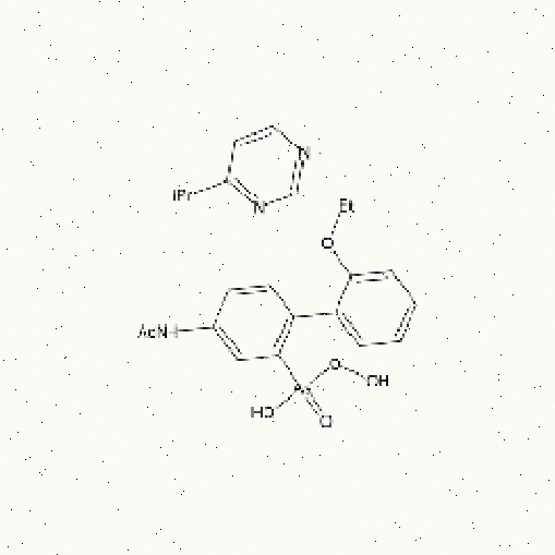 CC(C)c1ccncn1.CCOc1ccccc1-c1ccc(NC(C)=O)cc1[As](=O)(O)OO